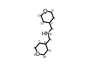 C1CC(CNCC2CCOCC2)CCO1